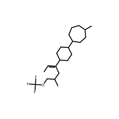 C/C=C(\CC(C)COC(F)(F)F)C1CCC(C2CCCC(C)CC2)CC1